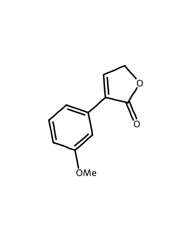 COc1cccc(C2=CCOC2=O)c1